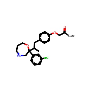 COC(=O)COc1ccc(CC(C)C2(c3cccc(Cl)c3)CNCCCO2)cc1